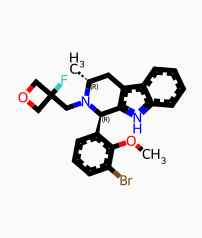 COc1c(Br)cccc1[C@@H]1c2[nH]c3ccccc3c2C[C@@H](C)N1CC1(F)COC1